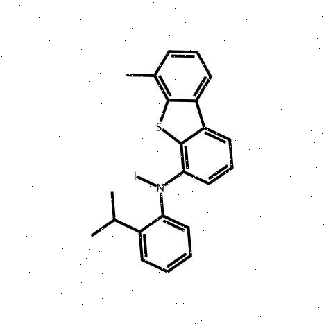 Cc1cccc2c1sc1c(N(I)c3ccccc3C(C)C)cccc12